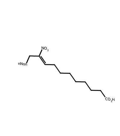 CCCCCCCCCCC(=CCCCCCCCC(=O)O)[N+](=O)[O-]